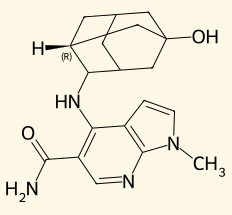 Cn1ccc2c(NC3C4CC5C[C@@H]3CC(O)(C5)C4)c(C(N)=O)cnc21